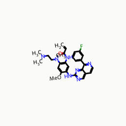 C=CC(=O)Nc1cc(Nc2ncc3ccnc(-c4cccc(F)c4)c3n2)c(OC)cc1N(C)CCN(C)C